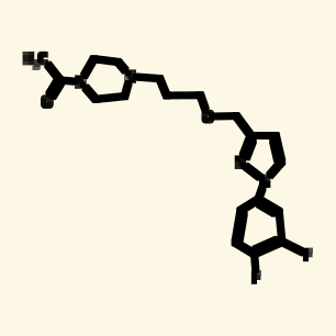 CC(=O)N1CCN(CCCOCc2ccn(-c3ccc(F)c(F)c3)n2)CC1